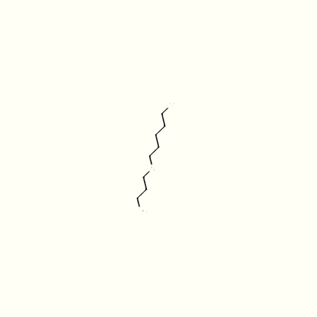 NCCCCCNCCCO